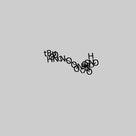 CC(C)(C)OC(=O)NC1CCN(CCOCCOCC(=O)Nc2cccc3c2C(=O)N(C2CCC(=O)NC2=O)C3=O)CC1